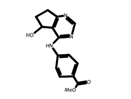 COC(=O)c1ccc(Nc2ncnc3c2C(O)CC3)cc1